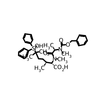 C[C@H](C(=O)N(C)[C@H](C(=O)O)[C@@H](C)CCC(C)(C)[Si](O)(c1ccccc1)c1ccccc1)N(C)C(=O)OCc1ccccc1